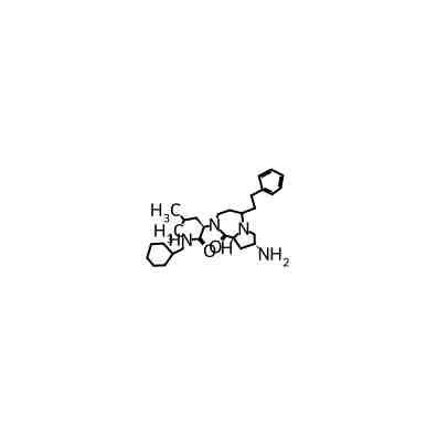 CC(C)C[C@H](C(=O)NCC1CCCCC1)N1CCC(CCc2ccccc2)N2C[C@H](N)C[C@H]2C1=O